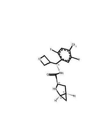 O=C(N[C@@H](c1cc(F)c(C(F)(F)F)cc1F)C1COC1)[C@H]1C[C@H]2C[C@H]2N1